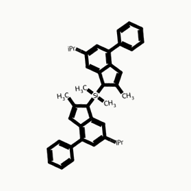 CC1=Cc2c(-c3ccccc3)cc(C(C)C)cc2C1[Si](C)(C)C1C(C)=Cc2c(-c3ccccc3)cc(C(C)C)cc21